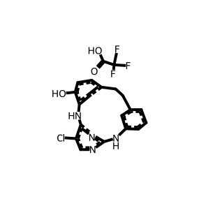 O=C(O)C(F)(F)F.Oc1ccc2cc1Nc1nc(ncc1Cl)Nc1cccc(c1)CC2